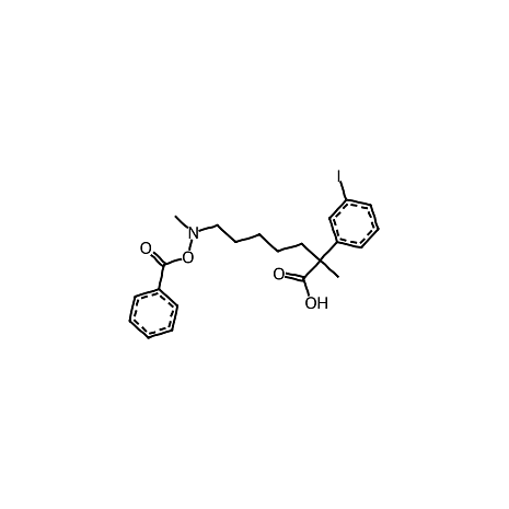 CN(CCCCCC(C)(C(=O)O)c1cccc(I)c1)OC(=O)c1ccccc1